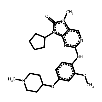 COc1cc(OC2CCN(C)CC2)ccc1Nc1ncc2c(n1)n(C1CCCC1)c(=O)n2C